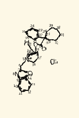 O=C(O[C@H]1C[N+]2(Cc3nc4ccccc4o3)CCC1CC2)C1(c2ccccc2)CCCCCC1.[Cl-]